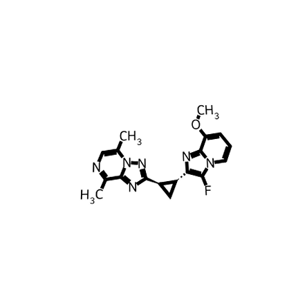 COc1cccn2c(F)c([C@@H]3C[C@H]3c3nc4c(C)ncc(C)n4n3)nc12